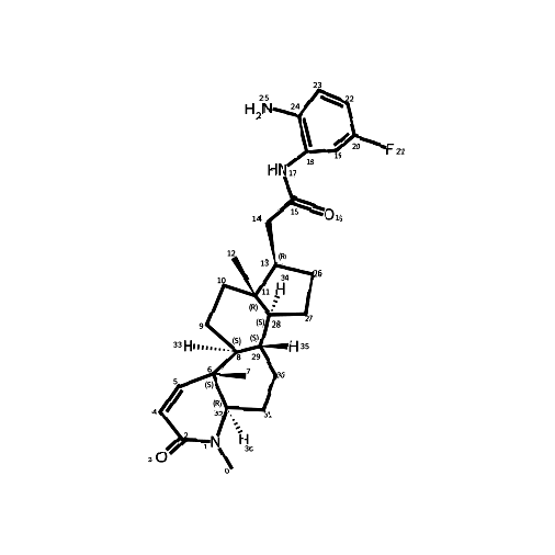 CN1C(=O)C=C[C@]2(C)[C@H]3CC[C@]4(C)[C@@H](CC(=O)Nc5cc(F)ccc5N)CC[C@H]4[C@@H]3CC[C@@H]12